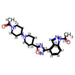 CC(=O)N1CCC(N2CCC(c3nc(-c4cccc5c4cnn5C(C)=O)no3)CC2)CC1